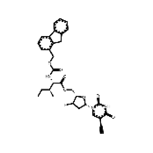 C#Cc1cn([C@@H]2CC(F)[C@H](COC(=O)[C@@H](NC(=O)OCc3cccc4c3Cc3ccccc3-4)[C@@H](C)CC)O2)c(=O)[nH]c1=O